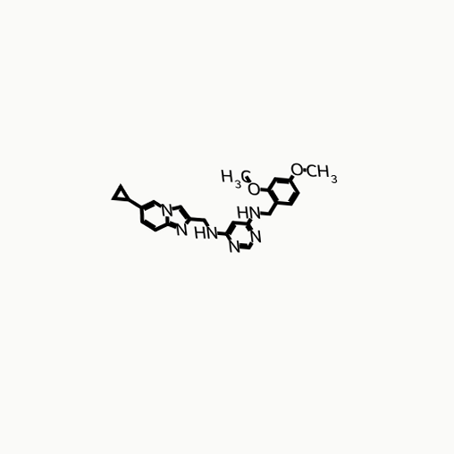 COc1ccc(CNc2cc(NCc3cn4cc(C5CC5)ccc4n3)ncn2)c(OC)c1